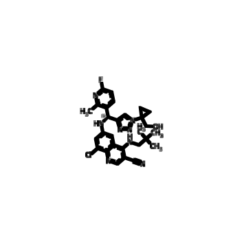 Cc1nc(F)ccc1[C@H](Nc1cc(Cl)c2ncc(C#N)c(NCC(C)(C)C)c2c1)c1cn(C2(CO)CC2)nn1